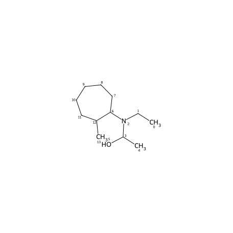 CCN(C(C)O)C1CCCCCC1C